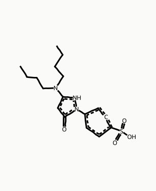 CCCCN(CCCC)c1cc(=O)n(-c2ccc(S(=O)(=O)O)cc2)[nH]1